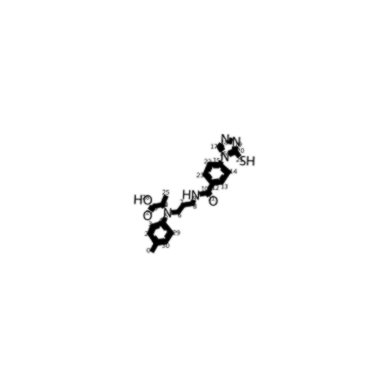 Cc1ccc(N(CCCNC(=O)c2ccc(-n3cnnc3S)cc2)C(C)C(=O)O)cc1